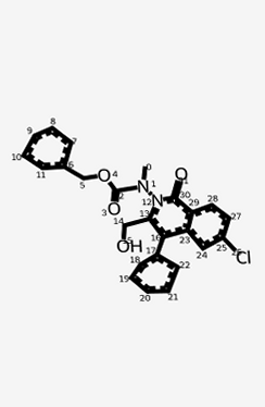 CN(C(=O)OCc1ccccc1)n1c(CO)c(-c2ccccc2)c2cc(Cl)ccc2c1=O